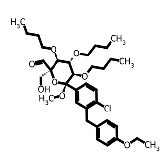 CCCCO[C@@H]1[C@@H](OCCCC)[C@](OC)(c2ccc(Cl)c(Cc3ccc(OCC)cc3)c2)O[C@](C=O)(CO)[C@H]1OCCCC